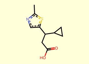 Cc1ncc(C(CC(=O)O)C2CC2)s1